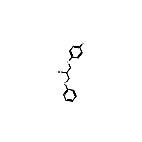 OC(COc1ccccc1)COc1ccc(Cl)cc1